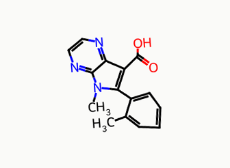 Cc1ccccc1-c1c(C(=O)O)c2nccnc2n1C